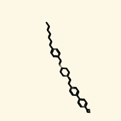 CCCCCCCc1ccc(CC[C@H]2CC[C@H](CCc3ccc(-c4ccc(Cl)cc4)cc3)CC2)cc1